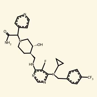 NC(=O)C(c1ccncc1)N1CC[C@H](CNc2ncnc(N(Cc3ccc(C(F)(F)F)cc3)C3CC3)c2F)[C@@H](O)C1